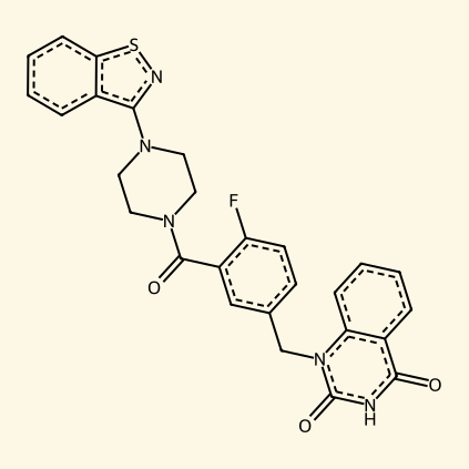 O=C(c1cc(Cn2c(=O)[nH]c(=O)c3ccccc32)ccc1F)N1CCN(c2nsc3ccccc23)CC1